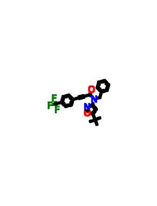 CC(C)(C)c1cc(N(Cc2ccccc2)C(=O)C#Cc2ccc(C(F)(F)F)cc2)no1